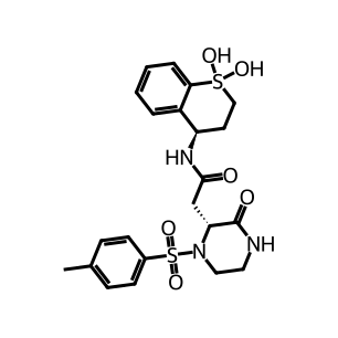 Cc1ccc(S(=O)(=O)N2CCNC(=O)[C@H]2CC(=O)N[C@@H]2CCS(O)(O)c3ccccc32)cc1